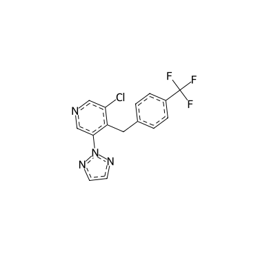 FC(F)(F)c1ccc(Cc2c(Cl)cncc2-n2nccn2)cc1